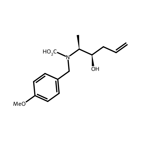 C=CC[C@@H](O)[C@H](C)N(Cc1ccc(OC)cc1)C(=O)O